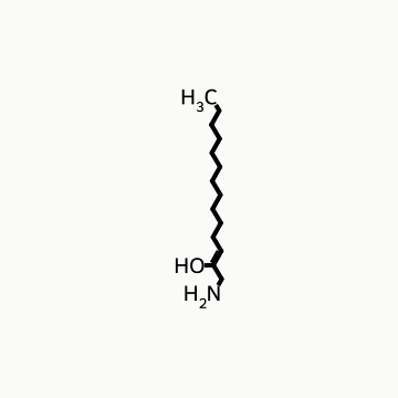 CCCCCCCCCCCC=C(O)CN